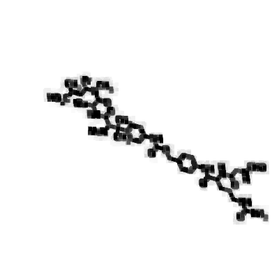 CNC(C(=O)NC(C(=O)N(C)C(/C=C(\C)C(=O)O)C(C)C)C(C)(C)C)C(C)(C)c1ccc(NC(=O)OCc2ccc(NC(=O)C(CCCNC(N)=O)NC(=O)CNC=O)cc2)cc1